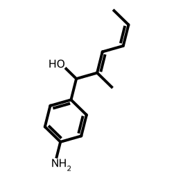 C/C=C\C=C(/C)C(O)c1ccc(N)cc1